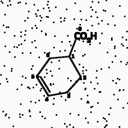 O=C(O)C1[CH]CC=CC1